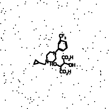 FC(F)(F)c1cccc(N2CCN(CC3CC3)CC2)c1.O=C(O)C(O)C(O)C(=O)O